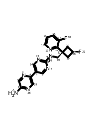 Nc1cnc(-c2cnc(NC[C@]3(c4ncccc4F)C[C@H](F)C3)nc2)cn1